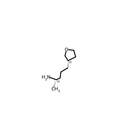 C[C@H](N)CCC[C@H]1CCOC1